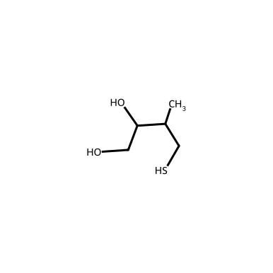 CC(CS)C(O)CO